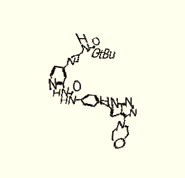 CC(C)(C)OC(=O)NC1CN(c2ccnc(NC(=O)Nc3ccc(-c4cc5c(N6CCOCC6)ncnc5[nH]4)cc3)c2)C1